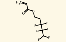 C=CC(=O)OCCC(F)(F)C(F)(F)C(F)F